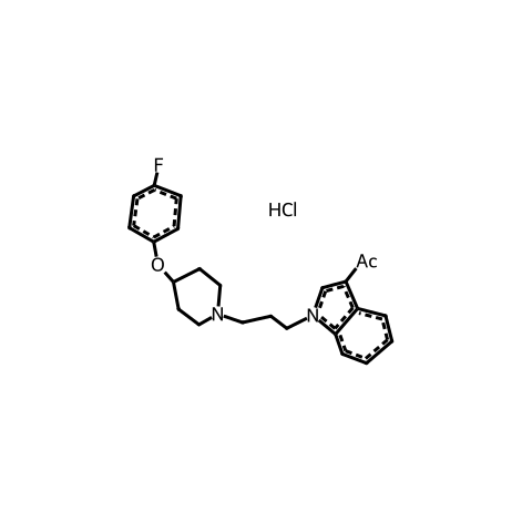 CC(=O)c1cn(CCCN2CCC(Oc3ccc(F)cc3)CC2)c2ccccc12.Cl